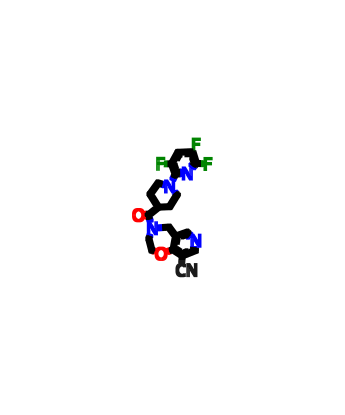 N#Cc1cncc2c1OCCN(C(=O)C1CCN(c3nc(F)c(F)cc3F)CC1)C2